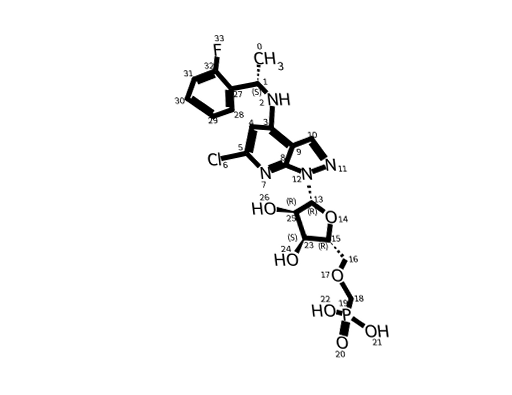 C[C@H](Nc1cc(Cl)nc2c1cnn2[C@@H]1O[C@H](COCP(=O)(O)O)[C@@H](O)[C@H]1O)c1ccccc1F